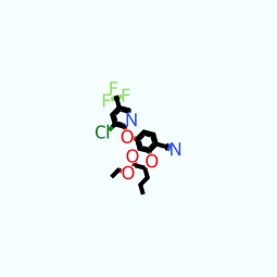 CCCC(Oc1cc(Oc2ncc(C(F)(F)F)cc2Cl)ccc1C#N)C(=O)OCC